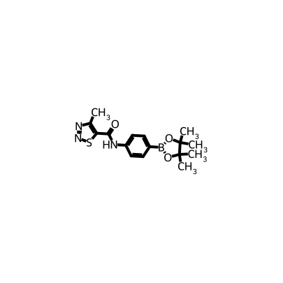 Cc1nnsc1C(=O)Nc1ccc(B2OC(C)(C)C(C)(C)O2)cc1